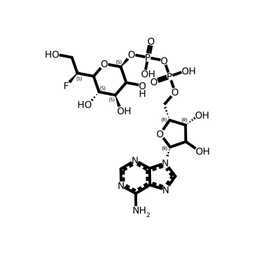 Nc1ncnc2c1ncn2[C@@H]1O[C@H](COP(=O)(O)OP(=O)(O)O[C@@H]2OC([C@@H](F)CO)[C@@H](O)[C@H](O)C2O)[C@H](O)C1O